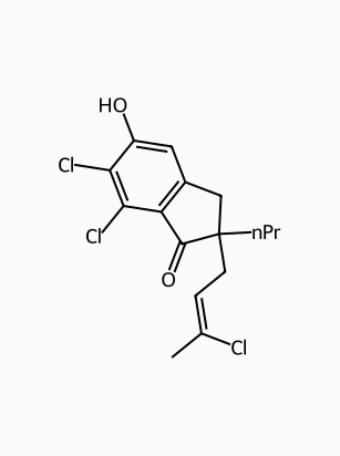 CCCC1(C/C=C(/C)Cl)Cc2cc(O)c(Cl)c(Cl)c2C1=O